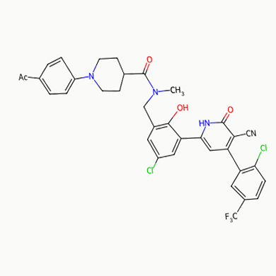 CC(=O)c1ccc(N2CCC(C(=O)N(C)Cc3cc(Cl)cc(-c4cc(-c5cc(C(F)(F)F)ccc5Cl)c(C#N)c(=O)[nH]4)c3O)CC2)cc1